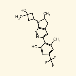 Cc1cc(C(F)(F)F)cc(O)c1-c1cc2c(nn1)N(C1CC(C)(O)C1)C(C)C2